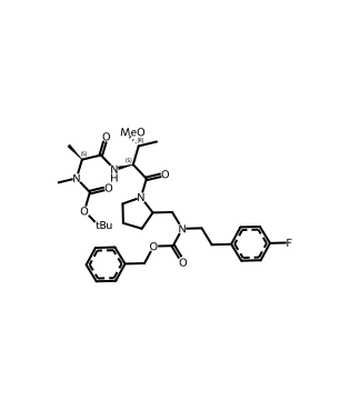 CO[C@H](C)[C@H](NC(=O)[C@H](C)N(C)C(=O)OC(C)(C)C)C(=O)N1CCCC1CN(CCc1ccc(F)cc1)C(=O)OCc1ccccc1